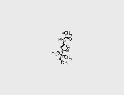 CC(=O)Nc1cc(C(C)(C)CO)no1